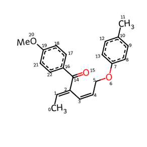 C/C=C(\C=C/COc1ccc(C)cc1)C(=O)c1ccc(OC)cc1